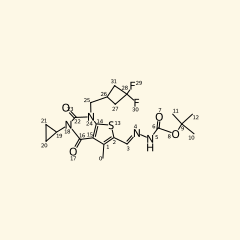 Cc1c(C=NNC(=O)OC(C)(C)C)sc2c1c(=O)n(C1CC1)c(=O)n2CC1CC(F)(F)C1